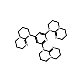 c1c(N2CCCN3CCCN=C32)cc(N2CCCN3CCCN=C32)nc1N1CCCN2CCCN=C21